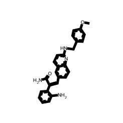 COc1ccc(CNc2ccc3cc(C=C(C(N)=O)c4ccccc4N)ccc3n2)cc1